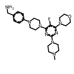 CN1CCN(c2nc(N3CCOCC3)c(F)c(N3CCN(c4ccc(CN)cc4)CC3)n2)CC1